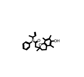 C=CC(C)N(C(=O)CC1(C)CCc2c(C)c(O)c(C)c(C)c2O1)c1ccccc1